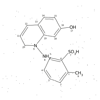 Cc1ccccc1S(=O)(=O)O.NN1CC=Cc2ccc(O)cc21